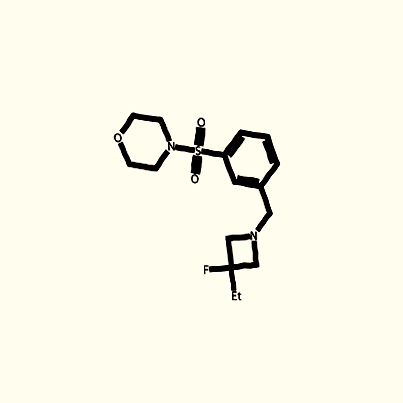 CCC1(F)CN(Cc2cccc(S(=O)(=O)N3CCOCC3)c2)C1